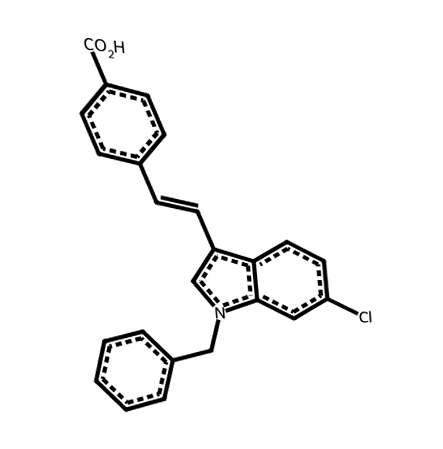 O=C(O)c1ccc(C=Cc2cn(Cc3ccccc3)c3cc(Cl)ccc23)cc1